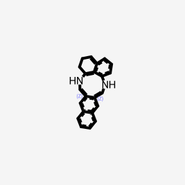 C1=c2cccc3c2=C(CC1)N/C=c1/cc2ccccc2c/c1=C/N3